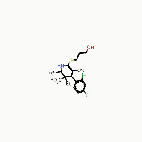 CCCC1NC(SCCCO)=C(C#N)C(c2ccc(Cl)cc2Cl)C1(CC)C(=O)O